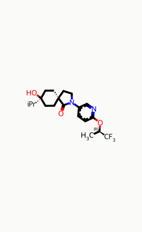 CC(C)[C@]1(O)CC[C@@]2(CCN(c3ccc(O[C@H](C)C(F)(F)F)nc3)C2=O)CC1